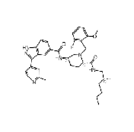 CCCC[C@@H](C)CNC(=O)[C@@H]1CC[C@@H](NC(=O)c2ccc3[nH]nc(-c4ccnc(C)c4)c3c2)CN1Cc1c(F)cccc1OC